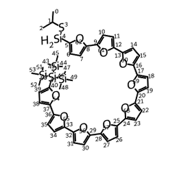 CC(C)S[SiH2]c1ccc(-c2ccc(-c3ccc(-c4ccc(-c5ccc(-c6ccc(-c7ccc(-c8ccc(-c9ccc([Si]([Si](C)(C)C)([Si](C)(C)C)[Si](C)(C)C)o9)o8)o7)o6)o5)o4)o3)o2)o1